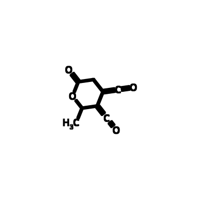 CC1OC(=O)CC(=C=O)C1=C=O